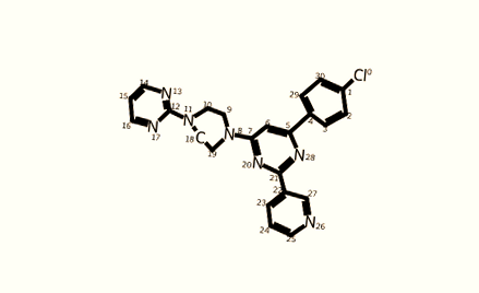 Clc1ccc(-c2cc(N3CCN(c4ncccn4)CC3)nc(-c3cccnc3)n2)cc1